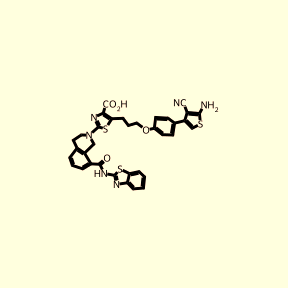 N#Cc1c(-c2ccc(OCCCc3sc(N4CCc5cccc(C(=O)Nc6nc7ccccc7s6)c5C4)nc3C(=O)O)cc2)csc1N